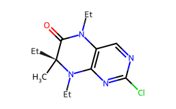 CCN1C(=O)[C@](C)(CC)N(CC)c2nc(Cl)ncc21